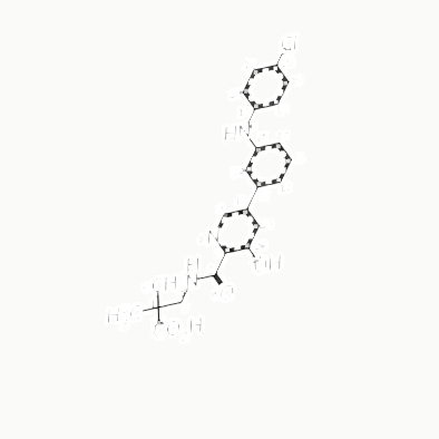 CC(C)(CNC(=O)c1ncc(-c2cccc(Nc3ccc(Cl)cc3)c2)cc1O)C(=O)O